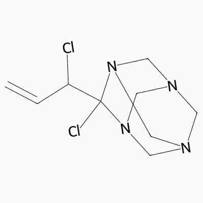 C=CC(Cl)C1(Cl)N2CN3CN(C2)CN1C3